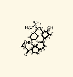 CN(C)CC1CCC(Nc2c(C(=O)C3CC3)cnc3ccc(-c4cc(F)c(O)c(Cl)c4)nc23)CC1